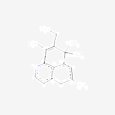 CCC1=C(C)c2nccc3cc(C)cc(c23)C1(C)C